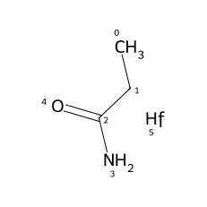 CCC(N)=O.[Hf]